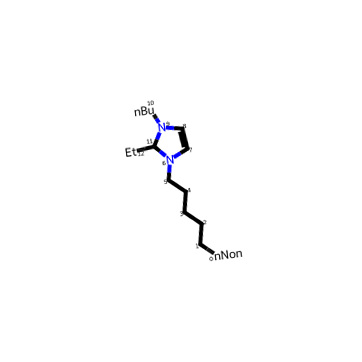 CCCCCCCCCCCCCCN1C=CN(CCCC)C1CC